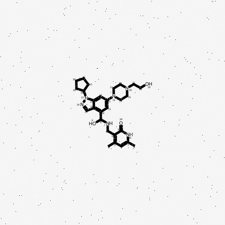 Cc1cc(C)c(CNC(O)c2cc(N3CCN(CCO)CC3)cc3c2cnn3C2CCCC2)c(=O)[nH]1